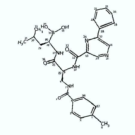 Cc1ccc(C(=O)NC[C@H](NC(=O)c2cncc(-c3ccccc3)n2)C(=O)N[C@@H](CC(C)C)B(O)O)cc1